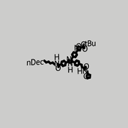 CCCCCCCCCCCCCCCCNC(=O)c1ccc(-c2nc(-c3ccc(C4=NOC(C(=O)OC(C)(C)C)C4)cc3)c(-c3ccc(C=CC(=O)NCC4CCCO4)cc3)[nH]2)cc1